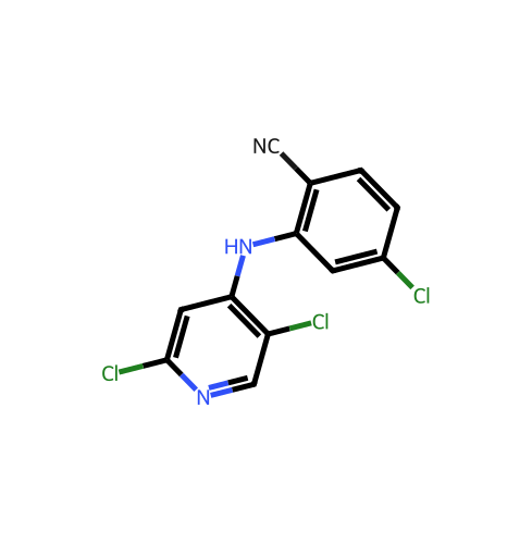 N#Cc1ccc(Cl)cc1Nc1cc(Cl)ncc1Cl